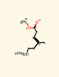 CCCCCCCCCC(C)=CCC(=O)OC(C)C